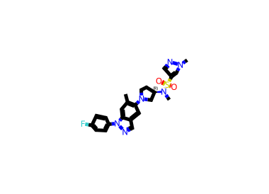 Cc1cc2c(cnn2-c2ccc(F)cc2)cc1N1CC[C@@H](N(C)S(=O)(=O)c2cnn(C)c2)C1